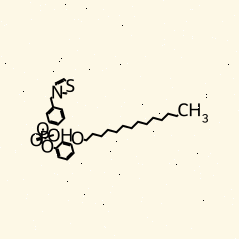 CCCCCCCCCCCCCCOc1cccc(OP(=O)(O)Oc2cccc(CN3C=CSC3)c2)c1